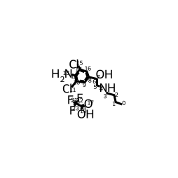 CCCCNCC(O)c1cc(Cl)c(N)c(Cl)c1.O=C(O)C(F)(F)F